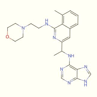 Cc1cccc2cc(C(C)Nc3ncnc4[nH]cnc34)nc(NCCN3CCOCC3)c12